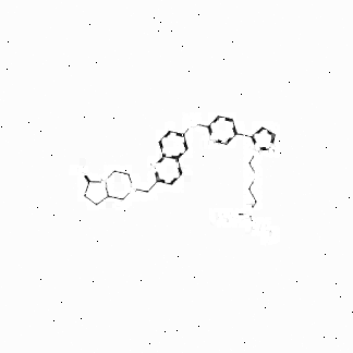 C[SiH](C)CCOCn1nccc1-c1ccc(Oc2ccc3nc(CN4CCN5C(=O)CCC5C4)ccc3c2)nc1